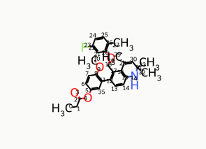 CCC(=O)Oc1ccc(OC)c(-c2ccc3c(c2COc2cc(F)ccc2C)C(C)=CC(C)(C)N3)c1